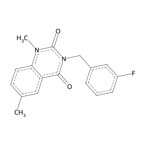 Cc1ccc2c(c1)c(=O)n(Cc1cccc(F)c1)c(=O)n2C